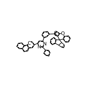 C1=CC2c3ccccc3C3(c4ccccc4Oc4ccc(-c5cccc(-c6cc(-c7ccc8c(ccc9ccccc98)c7)nc(-c7ccccc7)n6)c5)cc43)C2C=C1